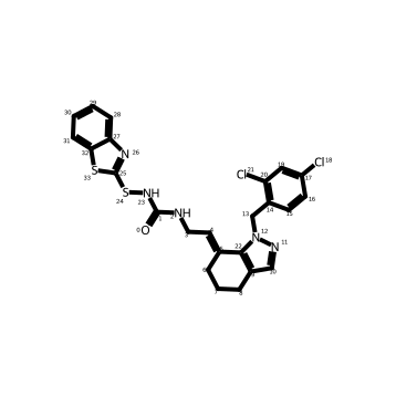 O=C(NC/C=C1\CCCc2cnn(Cc3ccc(Cl)cc3Cl)c21)NSc1nc2ccccc2s1